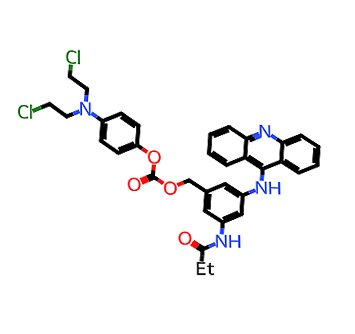 CCC(=O)Nc1cc(COC(=O)Oc2ccc(N(CCCl)CCCl)cc2)cc(Nc2c3ccccc3nc3ccccc23)c1